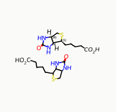 O=C(O)CCCCC1SCC2NC(=O)NC21.O=C(O)CCCC[C@@H]1SC[C@@H]2NC(=O)N[C@@H]21